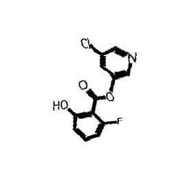 O=C(Oc1cncc(Cl)c1)c1c(O)cccc1F